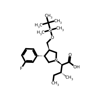 CC[C@@H](C)[C@H](C(=O)O)N1C[C@H](CO[Si](C)(C)C(C)(C)C)[C@@H](c2cccc(F)c2)C1